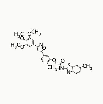 COc1cc(C2=NOC(c3ccc(C)c(OCC(=O)Nc4nc5ccc(C)cc5s4)c3)C2)cc(OC)c1OC